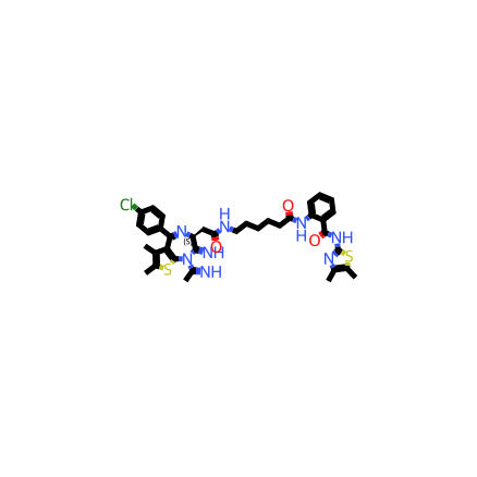 CC(=N)N1C(=N)[C@H](CC(=O)NCCCCCC(=O)Nc2ccccc2C(=O)Nc2nc(C)c(C)s2)N=C(c2ccc(Cl)cc2)c2c1sc(C)c2C